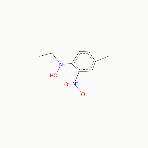 CCN(O)c1ccc(C)cc1[N+](=O)[O-]